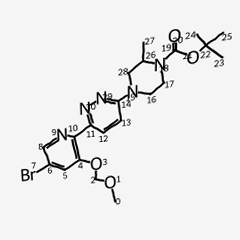 COCOc1cc(Br)cnc1-c1ccc(N2CCN(C(=O)OC(C)(C)C)C(C)C2)nn1